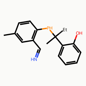 CCC(C)(Pc1ccc(C)cc1C=N)c1ccccc1O